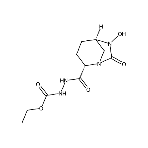 CCOC(=O)NNC(=O)[C@@H]1CC[C@@H]2CN1C(=O)N2O